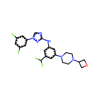 Fc1cc(F)cc(-n2cnc(Nc3cc(C(F)F)cc(N4CCN(C5COC5)CC4)c3)n2)c1